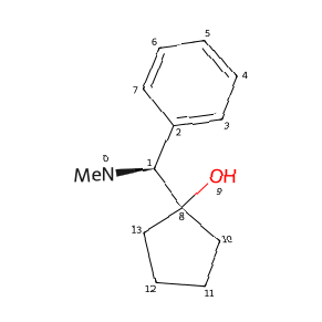 CN[C@@H](c1ccccc1)C1(O)CCCC1